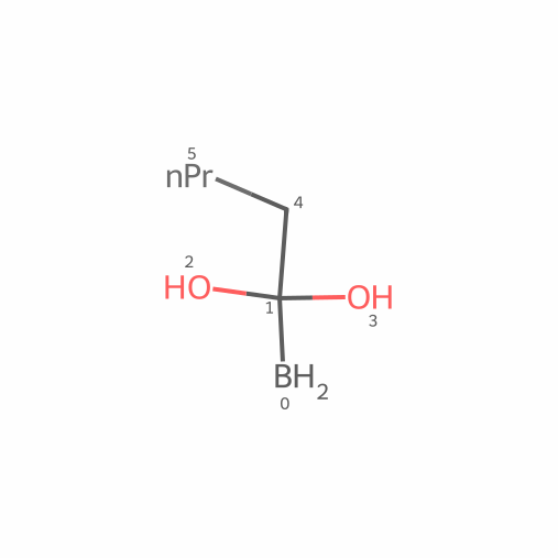 BC(O)(O)CCCC